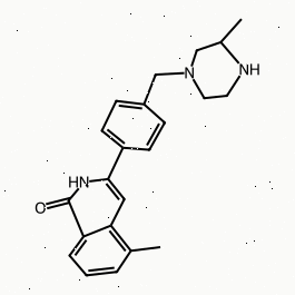 Cc1cccc2c(=O)[nH]c(-c3ccc(CN4CCNC(C)C4)cc3)cc12